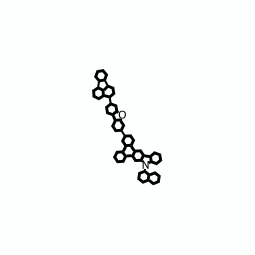 c1ccc2c(c1)-c1cccc3c(-c4ccc5c(c4)oc4cc(-c6ccc7c(c6)c6ccccc6c6cc8c(cc76)c6ccccc6n8-c6cccc7ccccc67)ccc45)ccc-2c13